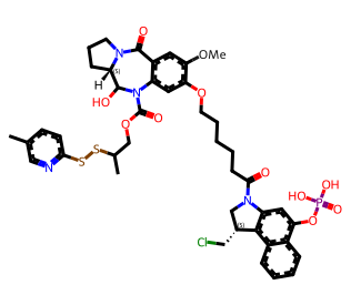 COc1cc2c(cc1OCCCCCC(=O)N1C[C@@H](CCl)c3c1cc(OP(=O)(O)O)c1ccccc31)N(C(=O)OCC(C)SSc1ccc(C)cn1)C(O)[C@@H]1CCCN1C2=O